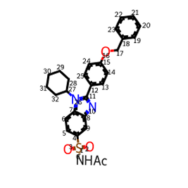 CC(=O)NS(=O)(=O)c1ccc2c(c1)nc(-c1ccc(OCc3ccccc3)cc1)n2C1CCCCC1